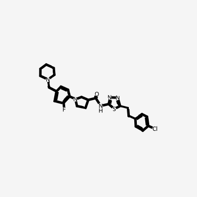 O=C(Nc1nnc(CCc2ccc(Cl)cc2)s1)C1CCN(c2ccc(CN3CCCCC3)cc2F)C1